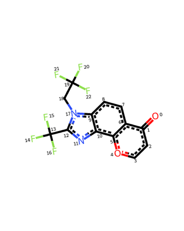 O=c1ccoc2c1ccc1c2nc(C(F)(F)F)n1CC(F)(F)F